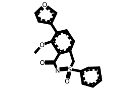 COc1c(-c2ccoc2)ccc2c1C(=O)N=S(=O)(c1ccccc1)C2